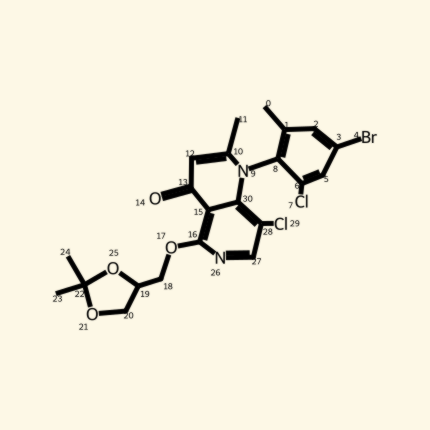 Cc1cc(Br)cc(Cl)c1-n1c(C)cc(=O)c2c(OCC3COC(C)(C)O3)ncc(Cl)c21